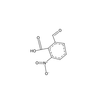 O=Cc1cccc([N+](=O)[O-])c1C(=O)O